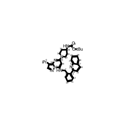 CC(C)c1cnn2c(NCc3ccccc3-c3ccc4ccccc4n3)cc(N3CCC(NC(=O)OC(C)(C)C)CC3)nc12